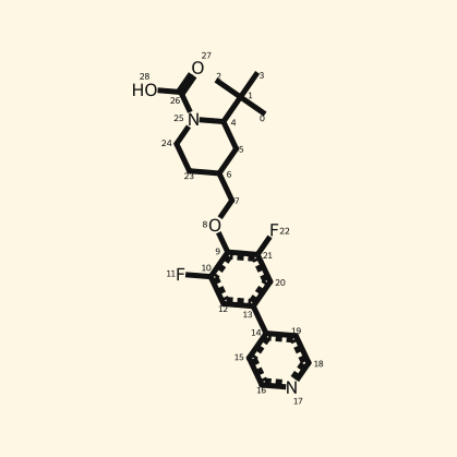 CC(C)(C)C1CC(COc2c(F)cc(-c3ccncc3)cc2F)CCN1C(=O)O